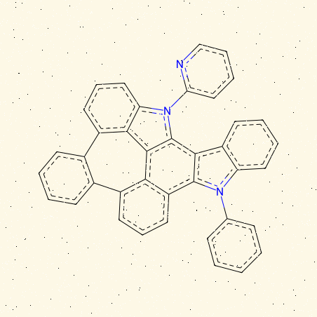 c1ccc(-n2c3ccccc3c3c2c2cccc4c2c2c5c(cccc5n(-c5ccccn5)c23)-c2ccccc2-4)cc1